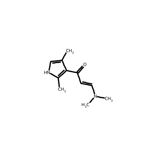 Cc1c[nH]c(C)c1C(=O)C=CN(C)C